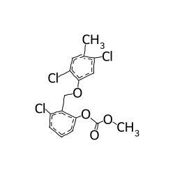 COC(=O)Oc1cccc(Cl)c1COc1cc(Cl)c(C)cc1Cl